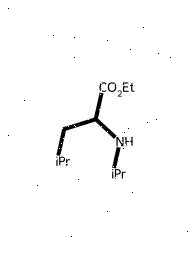 CCOC(=O)C(CC(C)C)NC(C)C